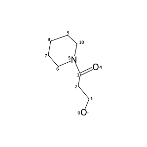 [O]CCC(=O)N1CCCCC1